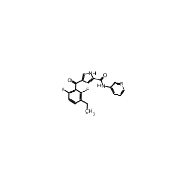 CCc1ccc(F)c(C(=O)c2c[nH]c(C(=O)Nc3cccnc3)c2)c1F